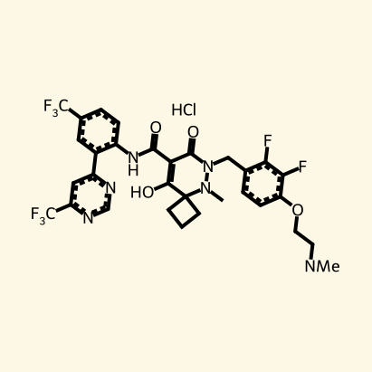 CNCCOc1ccc(CN2C(=O)C(C(=O)Nc3ccc(C(F)(F)F)cc3-c3cc(C(F)(F)F)ncn3)=C(O)C3(CCC3)N2C)c(F)c1F.Cl